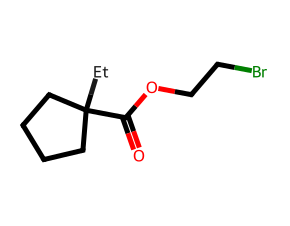 CCC1(C(=O)OCCBr)CCCC1